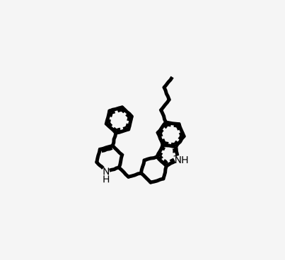 CCCCc1ccc2[nH]c3c(c2c1)CC(CC1CC(c2ccccc2)=CCN1)CC3